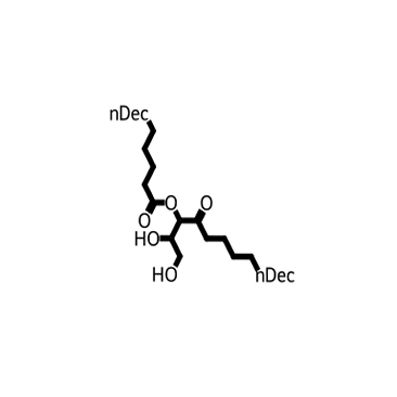 CCCCCCCCCCCCCCC(=O)OC(C(=O)CCCCCCCCCCCCCC)C(O)CO